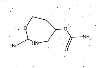 CC(C)(C)C1NCC(OC(N)=O)CCO1